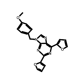 COc1ccc(Cn2cnc3c(-c4ccco4)nc(-c4ccco4)nc32)cc1